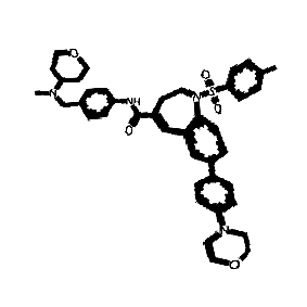 Cc1ccc(S(=O)(=O)N2CCC(C(=O)Nc3ccc(CN(C)C4CCOCC4)cc3)=Cc3cc(-c4ccc(N5CCOCC5)cc4)ccc32)cc1